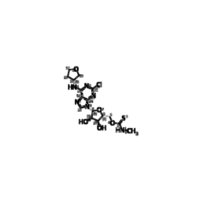 CNC(=S)OC[C@H]1O[C@@H](n2cnc3c(N[C@@H]4CCOC4)nc(Cl)nc32)[C@H](O)[C@@H]1O